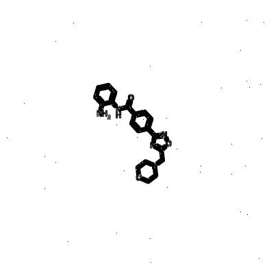 Nc1ccccc1NC(=O)c1ccc(-c2noc(CN3CCOCC3)n2)cc1